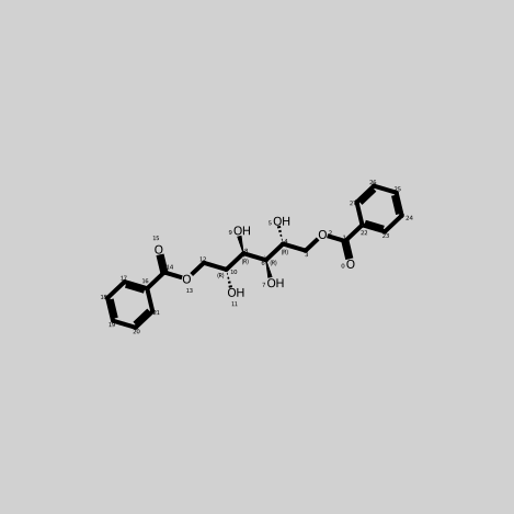 O=C(OC[C@@H](O)[C@@H](O)[C@H](O)[C@H](O)COC(=O)c1ccccc1)c1ccccc1